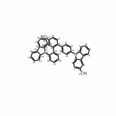 N#Cc1ccc2c(c1)c1ccccc1n2-c1ccc(-c2ccc(C#N)c(C#N)c2-c2ccccc2-n2c3ccccc3c3ccccc32)cc1